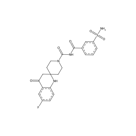 NS(=O)(=O)c1cccc(C(=O)NC(=O)N2CCC3(CC2)CC(=O)c2cc(F)ccc2N3)c1